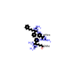 CCCCCCc1nc(N)nc(N)c1-c1ccccc1.COC(=O)CCCc1nc(N)nc(N)c1-c1ccccc1.Nc1nc(N)c(-c2ccccc2)c(CCCc2ccccc2)n1